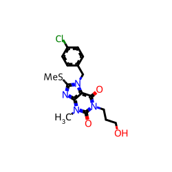 CSc1nc2c(c(=O)n(CCCO)c(=O)n2C)n1Cc1ccc(Cl)cc1